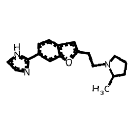 CC1CCCN1CCc1cc2ccc(-c3ncc[nH]3)cc2o1